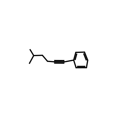 CC(C)CCC#Cc1ccccc1